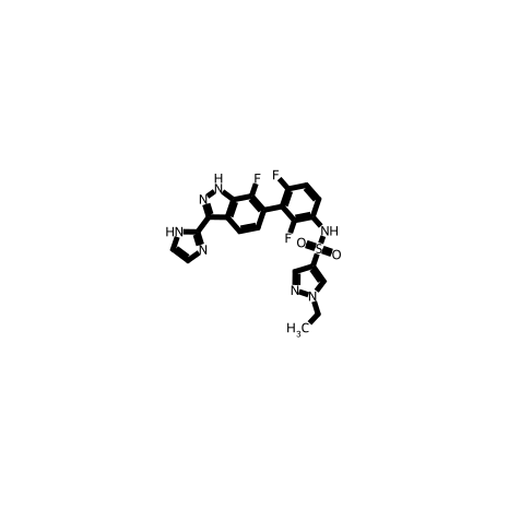 CCn1cc(S(=O)(=O)Nc2ccc(F)c(-c3ccc4c(-c5ncc[nH]5)n[nH]c4c3F)c2F)cn1